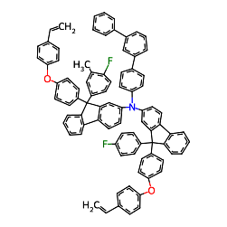 C=Cc1ccc(Oc2ccc(C3(c4ccc(F)cc4)c4ccccc4-c4ccc(N(c5ccc(-c6cccc(-c7ccccc7)c6)cc5)c5ccc6c(c5)C(c5ccc(Oc7ccc(C=C)cc7)cc5)(c5ccc(F)c(C)c5)c5ccccc5-6)cc43)cc2)cc1